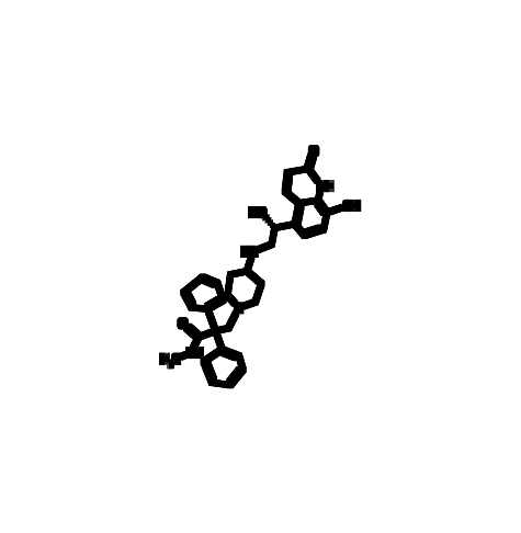 CNC(=O)C(CN1CCC(NC[C@H](O)c2ccc(O)c3[nH]c(=O)ccc23)CC1)(c1ccccc1)c1ccccc1